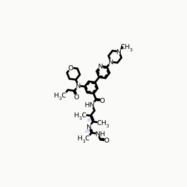 CCC(=O)N(c1cc(C(=O)NC/C(C)=C(C)/N=C(/C)NC=O)cc(-c2ccc(N3CCN(C)CC3)nc2)c1)C1CCOCC1